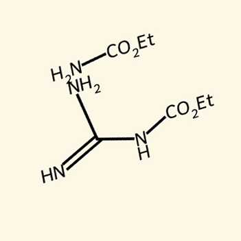 CCOC(=O)NC(=N)N.CCOC(N)=O